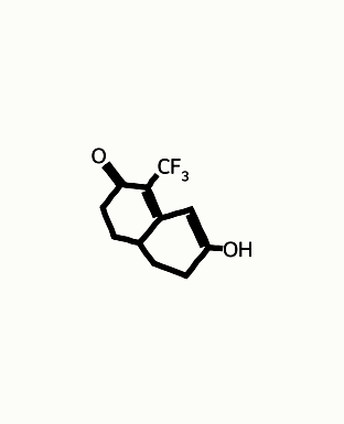 O=C1CCC2CCC(O)=CC2=C1C(F)(F)F